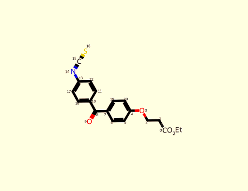 CCOC(=O)CCOc1ccc(C(=O)c2ccc(N=C=S)cc2)cc1